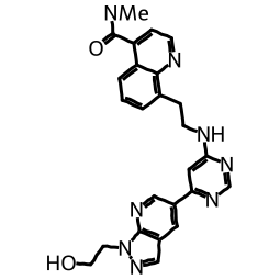 CNC(=O)c1ccnc2c(CCNc3cc(-c4cnc5c(cnn5CCO)c4)ncn3)cccc12